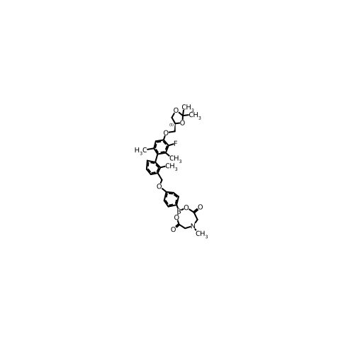 Cc1cc(OC[C@H]2COC(C)(C)O2)c(F)c(C)c1-c1cccc(COc2ccc(B3OC(=O)CN(C)CC(=O)O3)cc2)c1C